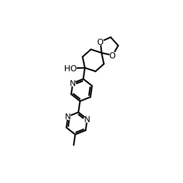 Cc1cnc(-c2ccc(C3(O)CCC4(CC3)OCCO4)nc2)nc1